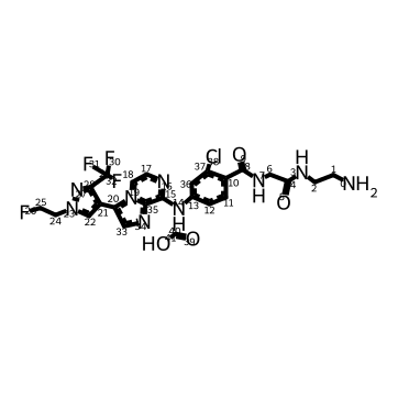 NCCNC(=O)CNC(=O)c1ccc(Nc2nccn3c(-c4cn(CCF)nc4C(F)(F)F)cnc23)cc1Cl.O=CO